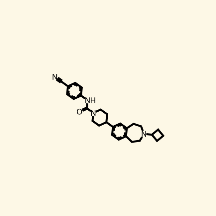 N#Cc1ccc(NC(=O)N2CCC(c3ccc4c(c3)CCN(C3CCC3)CC4)CC2)cc1